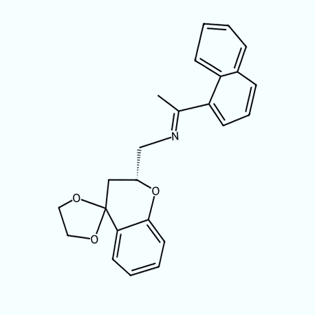 C/C(=N\C[C@H]1CC2(OCCO2)c2ccccc2O1)c1cccc2ccccc12